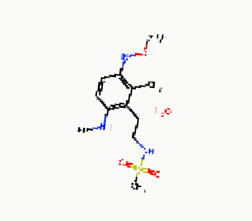 CCNc1ccc(NOS(=O)(=O)O)c(C)c1CCNS(C)(=O)=O.O